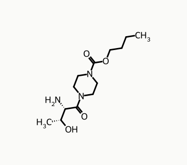 CCCCOC(=O)N1CCN(C(=O)[C@@H](N)[C@@H](C)O)CC1